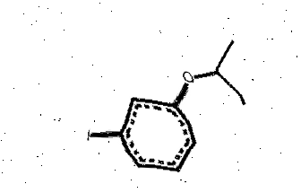 CC(C)Oc1cc[c]c(I)c1